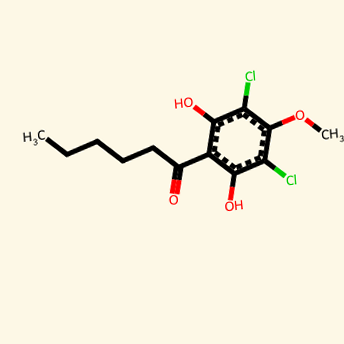 CCCCCC(=O)c1c(O)c(Cl)c(OC)c(Cl)c1O